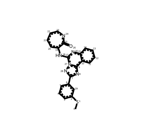 CSc1cccc(-c2nc3c4ccccc4nc(Nc4ccccnc4=O)n3n2)c1